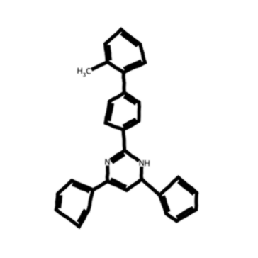 Cc1ccccc1-c1ccc(C2=NC(c3ccccc3)=CC(c3ccccc3)N2)cc1